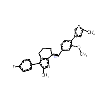 COc1cc(/C=C2\CCCn3c2nc(C)c3-c2ccc(F)cc2)ccc1-n1cnc(C)c1